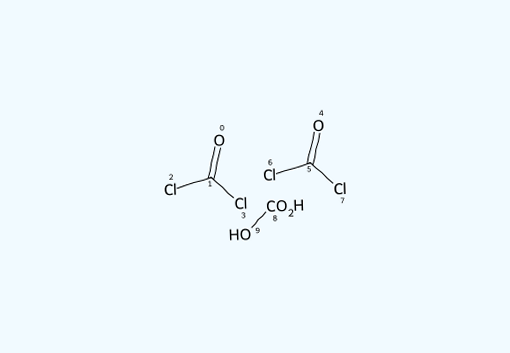 O=C(Cl)Cl.O=C(Cl)Cl.O=C(O)O